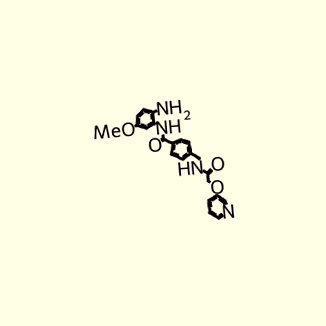 COc1ccc(N)c(NC(=O)c2ccc(CNC(=O)COc3cccnc3)cc2)c1